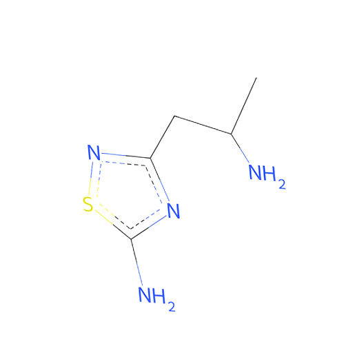 CC(N)Cc1nsc(N)n1